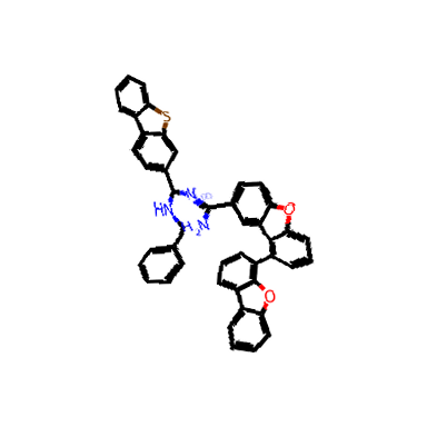 N/C(=N\C(NCc1ccccc1)c1ccc2c(c1)sc1ccccc12)c1ccc2oc3cccc(-c4cccc5c4oc4ccccc45)c3c2c1